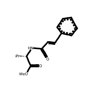 COC(=O)[C@@H](NC(=O)/C=C/c1ccccc1)C(C)C